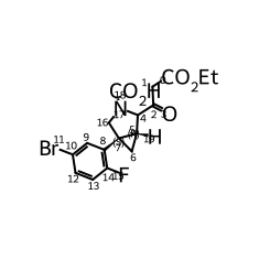 CCOC(=O)CC(=O)C1[C@@H]2C[C@]2(c2cc(Br)ccc2F)CN1C(=O)O